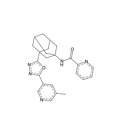 Cc1cncc(-c2nnc(C34CC5CC(CC(NC(=O)c6ccccn6)(C5)C3)C4)o2)c1